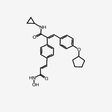 O=C(/C=C/c1ccc(/C(=C\c2ccc(OC3CCCC3)cc2)C(=O)NC2CC2)cc1)NO